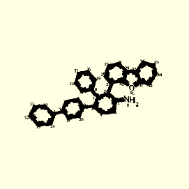 Nc1ccc(-c2ccc(-c3ccccc3)cc2)c(-c2ccccc2)c1-c1cccc2c1oc1ccccc12